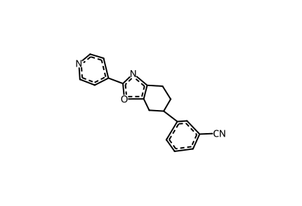 N#Cc1cccc(C2CCc3nc(-c4ccncc4)oc3C2)c1